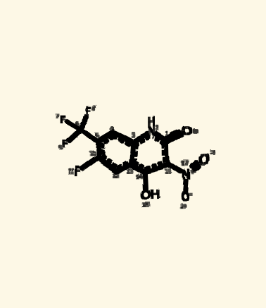 O=c1[nH]c2cc(C(F)(F)F)c(F)cc2c(O)c1[N+](=O)[O-]